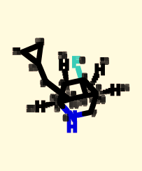 F[C@H]1[C@H]2CC[C@H](NC2)[C@H]1CC1CC1